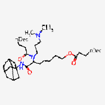 CCCCCCCCCCCCC(=O)OCCCCCC(C(=O)NC12CC3CC(CC(C3)C1)C2)N(CCCN(C)C)C(=O)CCCCCCCCCCCC